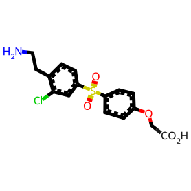 NCCc1ccc(S(=O)(=O)c2ccc(OCC(=O)O)cc2)cc1Cl